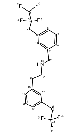 FC(F)C(F)(F)Cc1cccc(CNCCc2cccc(OC(F)(F)F)c2)c1